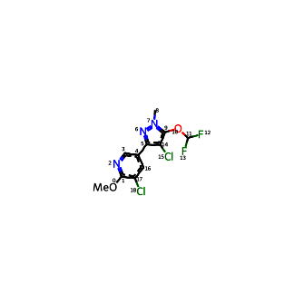 COc1ncc(-c2nn(C)c(OC(F)F)c2Cl)cc1Cl